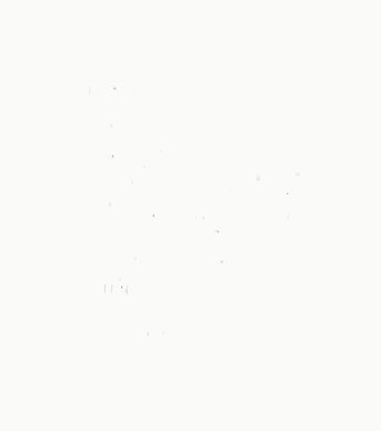 Cc1ccc(C(=O)Oc2ccc(CC(N)C(=O)O)cc2OC(=O)c2ccc(C)cc2)cc1.Cl